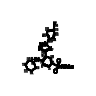 CNS(=O)(=O)c1ccc(NC2CCCCC2)c(-c2nnn(-c3ccc(F)cc3)n2)c1